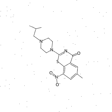 Cc1cc([N+](=O)[O-])c2sc(N3CCN(CC(C)C)CC3)nc(=O)c2c1